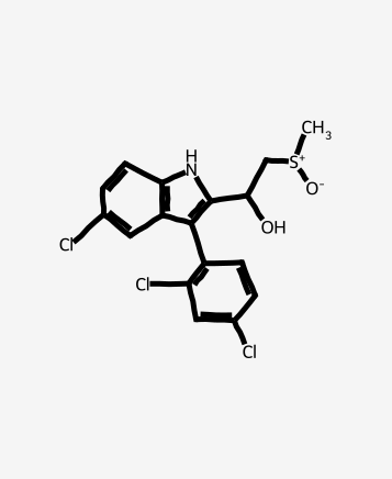 C[S+]([O-])CC(O)c1[nH]c2ccc(Cl)cc2c1-c1ccc(Cl)cc1Cl